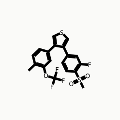 Cc1ccc(-c2cscc2-c2ccc(S(C)(=O)=O)c(F)c2)cc1OC(F)(F)F